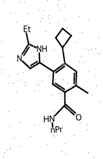 CCCNC(=O)c1cc(-c2cnc(CC)[nH]2)c(C2CCC2)cc1C